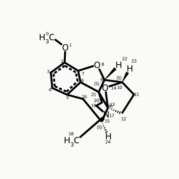 COc1ccc2c3c1O[C@@H]1[C@@H]4CC[C@]5(O4)[C@H](C2)N(C)CCC315